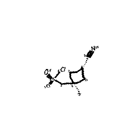 C[C@]1(CS(=O)(=O)Cl)C[C@H](C#N)C1